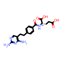 Nc1ncc(CCc2ccc(C(=O)N[C@@H](CCC(=O)O)C(=O)O)cc2)c(N)n1